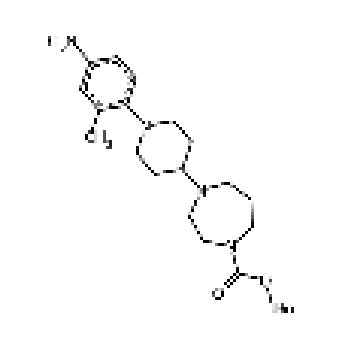 Cc1cc([N+](=O)[O-])ccc1N1CCC(N2CCCN(C(=O)OC(C)(C)C)CC2)CC1